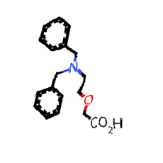 O=[13C](O)COCCN(Cc1ccccc1)Cc1ccccc1